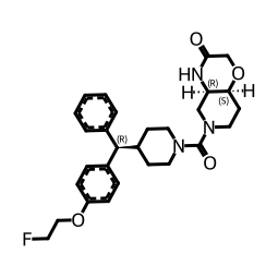 O=C1CO[C@H]2CCN(C(=O)N3CCC([C@H](c4ccccc4)c4ccc(OCCF)cc4)CC3)C[C@H]2N1